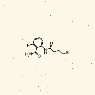 NC(=O)c1c(F)cccc1NC(=O)CCCBr